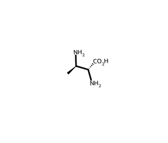 C[C@@H](N)[C@@H](N)C(=O)O